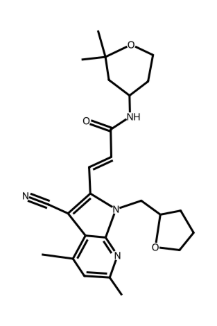 Cc1cc(C)c2c(C#N)c(C=CC(=O)NC3CCOC(C)(C)C3)n(CC3CCCO3)c2n1